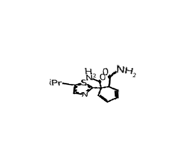 CC(C)c1cnc(C2(C(N)=O)C=CC=CC2C(N)=O)s1